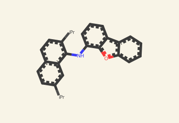 CC(C)c1ccc2ccc(C(C)C)c(Nc3cccc4c3oc3ccccc34)c2c1